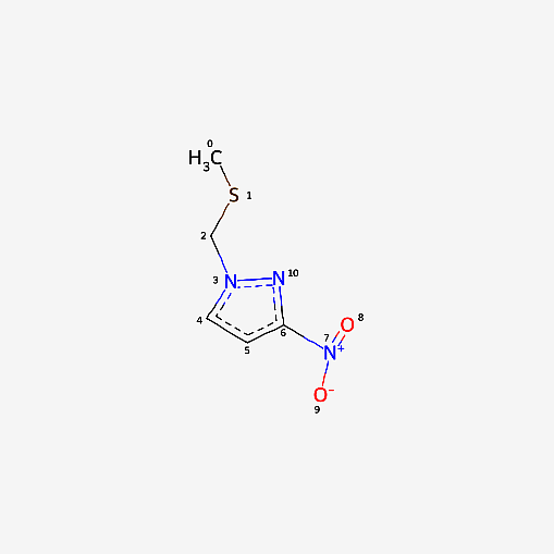 CSCn1ccc([N+](=O)[O-])n1